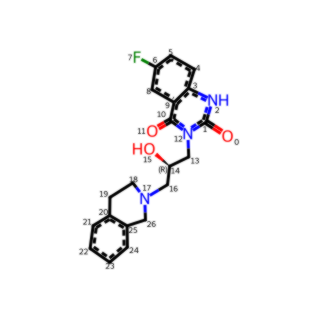 O=c1[nH]c2ccc(F)cc2c(=O)n1C[C@H](O)CN1CCc2ccccc2C1